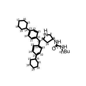 CCCCNC(=O)N[C@H]1CN[C@@H](C(c2ccc(C3CCCCC3)cc2)c2ccc(C3CCCCC3)cc2)C1